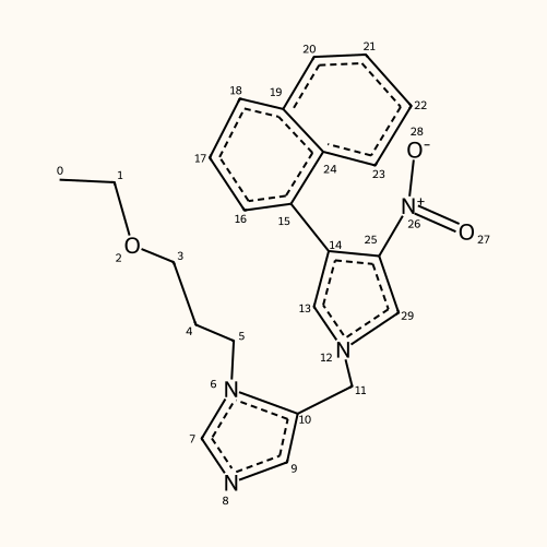 CCOCCCn1cncc1Cn1cc(-c2cccc3ccccc23)c([N+](=O)[O-])c1